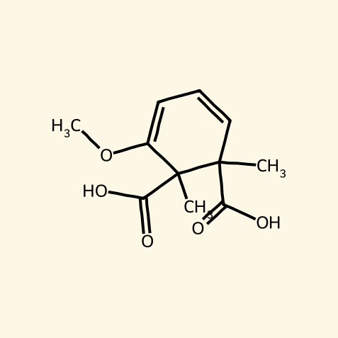 COC1=CC=CC(C)(C(=O)O)C1(C)C(=O)O